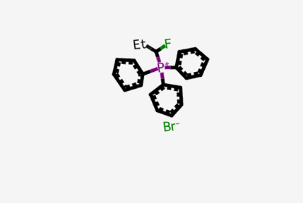 CCC(F)[P+](c1ccccc1)(c1ccccc1)c1ccccc1.[Br-]